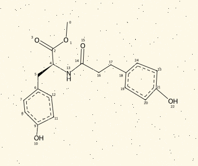 COC(=O)[C@H](Cc1ccc(O)cc1)NC(=O)CCc1ccc(O)cc1